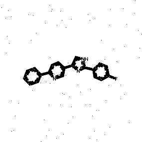 Fc1ccc(-c2nc(-c3ccc(-c4ccccc4)nc3)c[nH]2)cc1